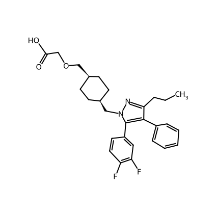 CCCc1nn(C[C@H]2CC[C@@H](COCC(=O)O)CC2)c(-c2ccc(F)c(F)c2)c1-c1ccccc1